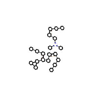 c1ccc(-c2ccc(-c3cccc(-c4cccc5c4sc4c(-c6ccccc6)cccc45)c3)cc2)cc1.c1ccc(-c2ccc(-c3cccc4c3sc3c(-c5ccc6c7ccccc7c7ccccc7c6c5)cccc34)cc2)cc1.c1ccc(-c2ccc(-c3cccc4c3sc3c(-c5cccc(-c6nc(-c7ccccc7)nc(-c7ccccc7)n6)c5)cccc34)cc2)cc1